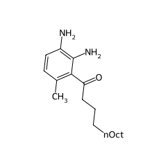 CCCCCCCCCCCC(=O)c1c(C)ccc(N)c1N